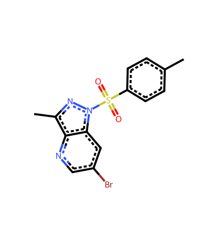 Cc1ccc(S(=O)(=O)n2nc(C)c3ncc(Br)cc32)cc1